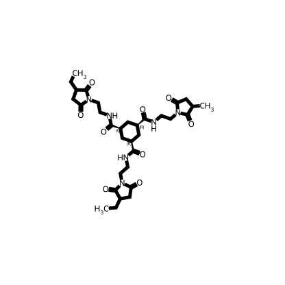 CCC1CC(=O)N(CCNC(=O)[C@@H]2C[C@H](C(=O)NCCN3C(=O)CC(C)C3=O)C[C@H](C(=O)NCCN3C(=O)CC(CC)C3=O)C2)C1=O